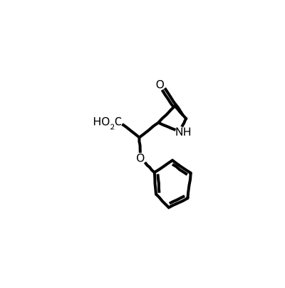 O=C1CNC1C(Oc1ccccc1)C(=O)O